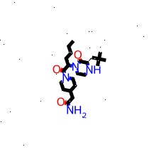 CCCCC(C(=O)N1CCC(CC(N)=O)CC1)N1CCN[C@@H](CC(C)(C)C)C1=O